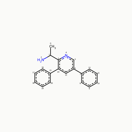 CC(N)c1ncc(-c2ccccc2)cc1-c1ccccc1